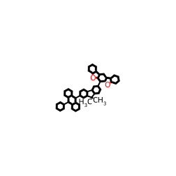 CC1(C)c2ccc(-c3c4oc5ccccc5c4cc4c3oc3ccccc34)cc2-c2ccc(-c3c4ccccc4c(-c4ccccc4)c4ccccc34)cc21